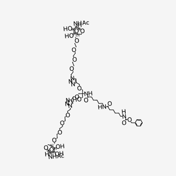 CC(=O)N[C@H]1[C@H]2OC[C@](COCCOCCOCCOCCn3cc(COCC(CO)(COCc4cn(CCOCCOCCOCCOC[C@@]56CO[C@@H](O5)[C@H](NC(C)=O)[C@@H](O)[C@H]6O)nn4)NC(=O)CCCCCNC(=O)CCCCCNC(=O)OCc4ccccc4)nn3)(O2)[C@H](O)[C@@H]1O